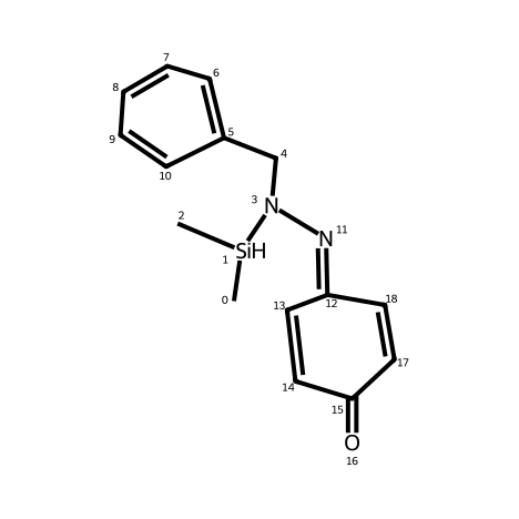 C[SiH](C)N(Cc1ccccc1)N=C1C=CC(=O)C=C1